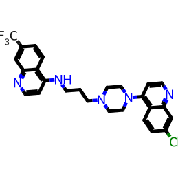 FC(F)(F)c1ccc2c(NCCCN3CCN(c4ccnc5cc(Cl)ccc45)CC3)ccnc2c1